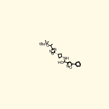 CC(O[Si](C)(C)C(C)(C)C)c1noc([C@H]2C[C@@H](NC(O)c3cc(-c4ccccc4)on3)C2)n1